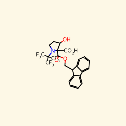 O=C(O)[C@]1(C(=O)OCC2c3ccccc3-c3ccccc32)C(O)CCN1C(C(F)(F)F)(C(F)(F)F)C(F)(F)F